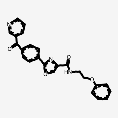 O=C(c1ccc(-c2nc(C(=O)NCCOc3ccccc3)co2)cc1)c1cccnc1